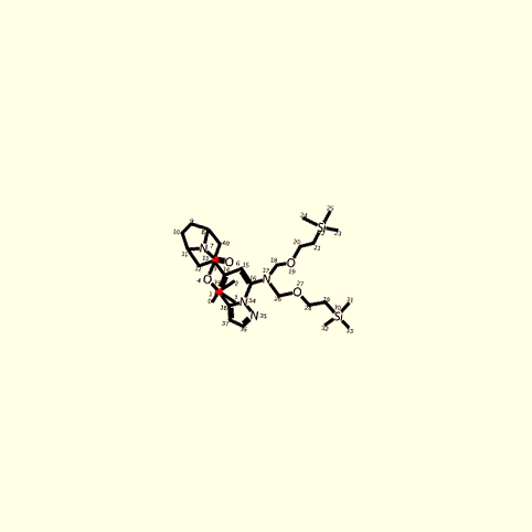 CC(C)(C)OC(=O)N1C2CCC1CC(c1cc(N(COCC[Si](C)(C)C)COCC[Si](C)(C)C)n3nccc3n1)C2